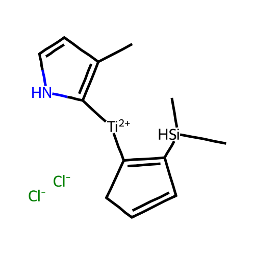 Cc1cc[nH][c]1[Ti+2][C]1=C([SiH](C)C)C=CC1.[Cl-].[Cl-]